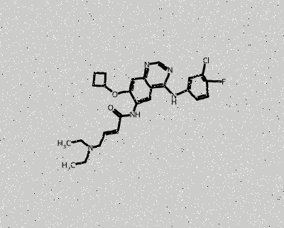 CCN(CC)C/C=C/C(=O)Nc1cc2c(Nc3ccc(F)c(Cl)c3)ncnc2cc1OC1CCC1